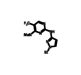 CCn1ccc(Nc2ncc(C(F)(F)F)c(NC)n2)n1